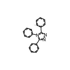 [c]1ccccc1-c1nnc(-c2ccccc2)n1-c1ccccc1